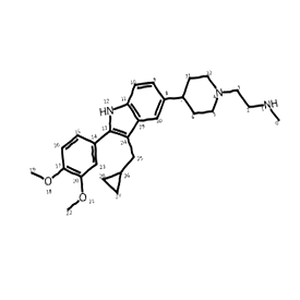 CNCCN1CCC(c2ccc3[nH]c(-c4ccc(OC)c(OC)c4)c(CC4CC4)c3c2)CC1